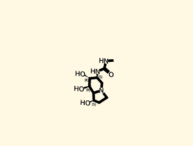 CNC(=O)N[C@H]1CN2CC[C@H](O)C2[C@@H](O)[C@@H]1O